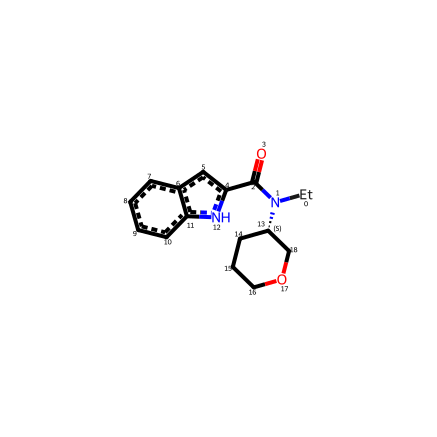 CCN(C(=O)c1cc2ccccc2[nH]1)[C@H]1CCCOC1